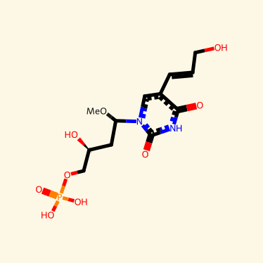 COC(C[C@H](O)COP(=O)(O)O)n1cc(/C=C/CO)c(=O)[nH]c1=O